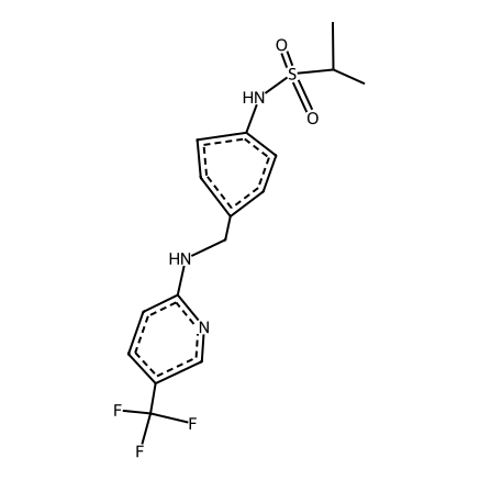 CC(C)S(=O)(=O)Nc1ccc(CNc2ccc(C(F)(F)F)cn2)cc1